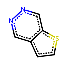 [c]1nncc2sccc12